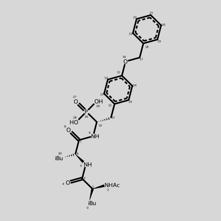 CC[C@H](C)[C@H](NC(C)=O)C(=O)N[C@H](C(=O)N[C@@H](Cc1ccc(OCc2ccccc2)cc1)P(=O)(O)O)[C@@H](C)CC